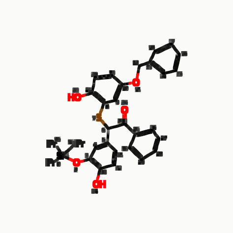 CC(C)[Si](Oc1cc(C(Sc2cc(OCc3ccccc3)ccc2O)C(=O)c2ccccc2)ccc1O)(C(C)C)C(C)C